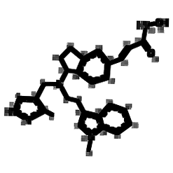 Cc1n[nH]cc1CN(CCc1cn(C)c2ccccc12)C1CCc2cc(C=CC(=O)NO)ccc21